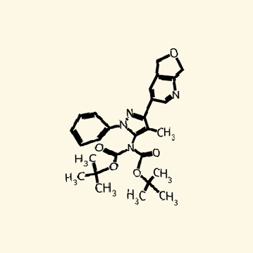 Cc1c(-c2cnc3c(c2)COC3)nn(-c2ccccc2)c1N(C(=O)OC(C)(C)C)C(=O)OC(C)(C)C